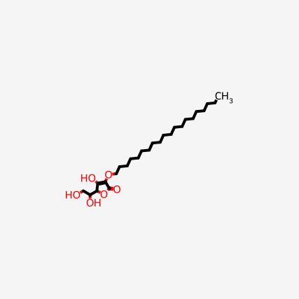 CCCCCCCCCCCCCCCCCCCCOC1=C(O)C(C(O)CO)OC1=O